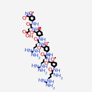 COc1ccc(NC(=O)[C@@H](CCC(=O)O)NC(=O)c2cc(NC(=O)[C@@H](CCCNC(=N)N)NC(=O)c3cc(NC(=O)[C@@H](CCCNC(=N)N)NC(=O)c4cc(NC(=O)[C@H](N)CCCNC(=N)N)ccc4OC)ccc3OC)ccc2OC)cc1C(N)=O